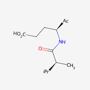 CC(=O)[C@H](CCC(=O)O)NC(=O)[C@@H](C)C(C)C